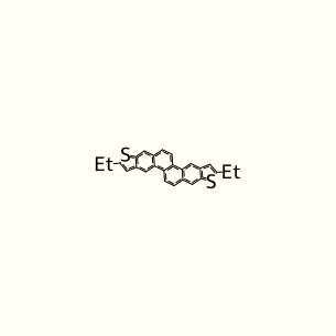 CCc1cc2cc3c(ccc4c5cc6cc(CC)sc6cc5ccc34)cc2s1